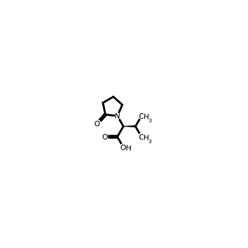 CC(C)[C@@H](C(=O)O)N1CCCC1=O